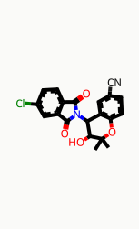 CC1(C)Oc2ccc(C#N)cc2C(N2C(=O)c3ccc(Cl)cc3C2=O)C1O